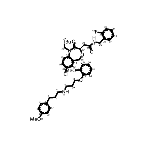 COc1ccc(CCCNCCCOc2cccc([C@H]3O[C@H](CC(=O)NCc4ccccc4F)C(=O)N(CC(C)(C)C)c4ccc(Cl)cc43)c2OC)cc1